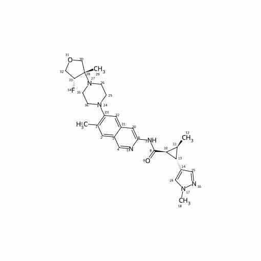 Cc1cc2cnc(NC(=O)[C@H]3[C@@H](C)[C@@H]3c3cnn(C)c3)cc2cc1N1CCN([C@@]2(C)COC[C@H]2F)CC1